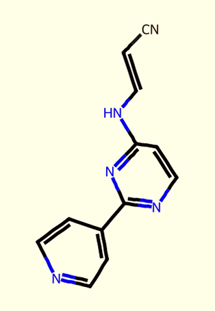 N#CC=CNc1ccnc(-c2ccncc2)n1